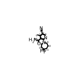 Cc1c(C#N)cnc(N2CCCC(F)(F)CC2)c1C(N)=O